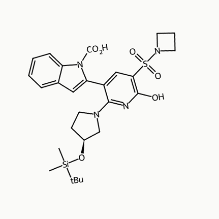 CC(C)(C)[Si](C)(C)O[C@H]1CCN(c2nc(O)c(S(=O)(=O)N3CCC3)cc2-c2cc3ccccc3n2C(=O)O)C1